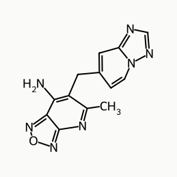 Cc1nc2nonc2c(N)c1Cc1ccn2ncnc2c1